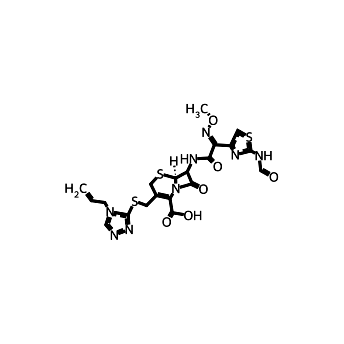 C=CCn1cnnc1SCC1=C(C(=O)O)N2C(=O)C(NC(=O)C(=NOC)c3csc(NC=O)n3)[C@@H]2SC1